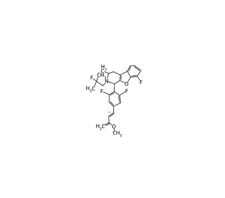 C=C(/C=C/c1cc(F)c(C2c3oc4c(F)cccc4c3CC(C)N2CC(C)(C)F)c(F)c1)OC